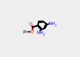 CC(C)OC(=O)c1ccc(N)cc1N